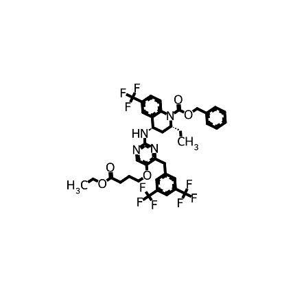 CCOC(=O)CCCOc1cnc(N[C@H]2C[C@@H](CC)N(C(=O)OCc3ccccc3)c3ccc(C(F)(F)F)cc32)nc1Cc1cc(C(F)(F)F)cc(C(F)(F)F)c1